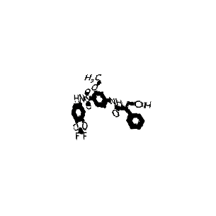 CCOc1cc(NC(=O)[C@@H](CO)c2ccccc2)ccc1S(=O)(=O)Nc1ccc2c(c1)OC(F)(F)O2